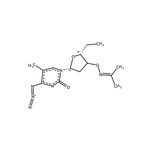 CC[C@H]1O[C@@H](n2cc(C)c(N=[N+]=[N-])nc2=O)CC1ON=C(C)C